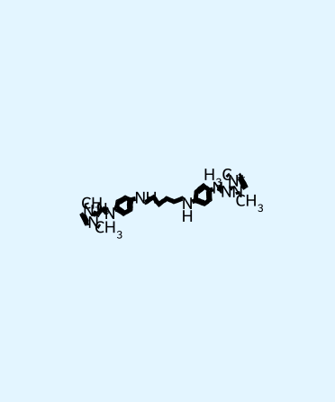 Cn1cc[n+](C)c1/N=N/c1ccc(NCCCCCCNc2ccc(/N=N/c3n(C)cc[n+]3C)cc2)cc1